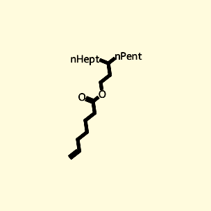 C=CCCCCC(=O)OCCC(CCCCC)CCCCCCC